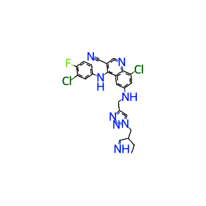 CCC(C=N)Cn1cc(CNc2cc(Cl)c3ncc(C#N)c(Nc4ccc(F)c(Cl)c4)c3c2)nn1